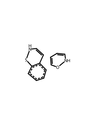 C1=CNOC=C1.C1=Cc2ccccc2SN1